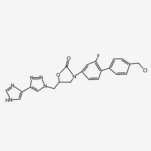 O=C1OC(Cn2cc(-c3c[nH]cn3)nn2)CN1c1ccc(-c2ccc(CCl)cc2)c(F)c1